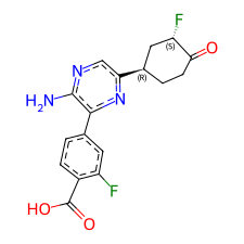 Nc1ncc([C@@H]2CCC(=O)[C@@H](F)C2)nc1-c1ccc(C(=O)O)c(F)c1